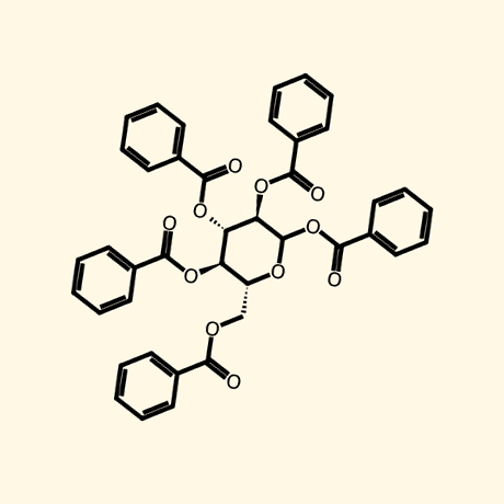 O=C(OC[C@H]1OC(OC(=O)c2ccccc2)[C@H](OC(=O)c2ccccc2)[C@@H](OC(=O)c2ccccc2)[C@@H]1OC(=O)c1ccccc1)c1ccccc1